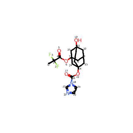 CC(F)(F)C(=O)OC12CC3CC(O)(CC(OC(=O)n4ccnc4)(C3)C1)C2